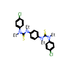 CCN(C(=S)N(CC)c1ccc(N(CC)C(=S)N(CC)c2ccc(Cl)cc2)cc1)c1ccc(Cl)cc1